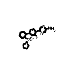 Nc1cnc(-c2ccc(-c3ccccc3[S+]([O-])N3CCCC3)cc2F)cn1